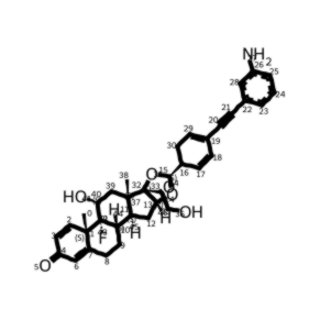 C[C@]12C=CC(=O)C=C1CC[C@H]1[C@@H]3C[C@H]4O[C@H](C5C=CC(C#Cc6cccc(N)c6)=CC5)O[C@@]4(C(=O)CO)[C@@]3(C)C[C@H](O)[C@@]12F